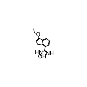 CCOC1=CCc2c(C(=N)NO)cccc21